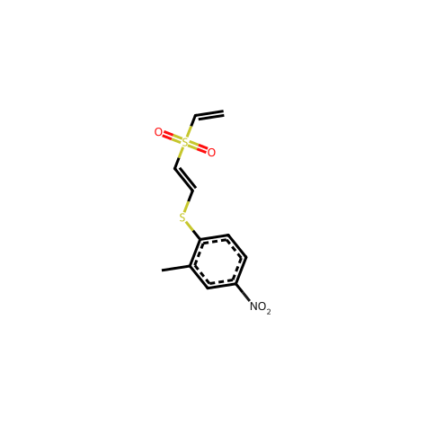 C=CS(=O)(=O)/C=C/Sc1ccc([N+](=O)[O-])cc1C